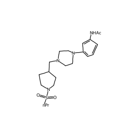 CCCS(=O)(=O)N1CCC(CN2CCN(c3cccc(NC(C)=O)c3)CC2)CC1